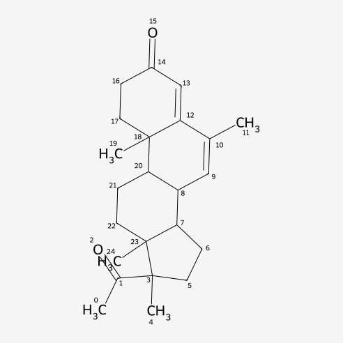 CC(=O)C1(C)CCC2C3C=C(C)C4=CC(=O)CCC4(C)C3CCC21C